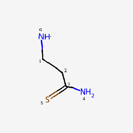 [NH]CCC(N)=S